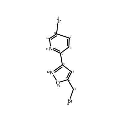 BrCc1cc(-c2ccc(Br)cn2)no1